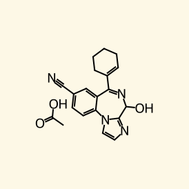 CC(=O)O.N#Cc1ccc2c(c1)C(C1=CCCCC1)=NC(O)c1nccn1-2